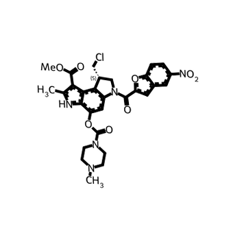 COC(=O)c1c(C)[nH]c2c(OC(=O)N3CCN(C)CC3)cc3c(c12)[C@H](CCl)CN3C(=O)c1cc2cc([N+](=O)[O-])ccc2o1